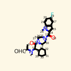 CC(C=O)N(C)C(C(=O)N1CCN(C(=O)c2cc3cc(F)ccc3n2C)C[C@H]1C)C1CCCCC1